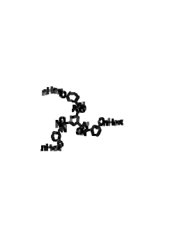 CCCCCCOc1cccc(-c2noc(-c3cc(-c4nc(-c5cccc(OCCCCCC)c5)no4)cc(-c4nc(-c5cccc(OCCCCCC)c5)no4)c3)n2)c1